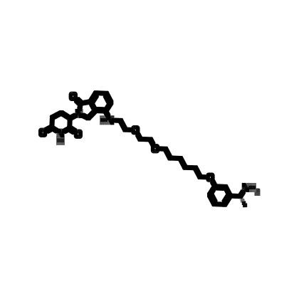 C[C@@H](N)c1cccc(OCCCCCCOCCOCCNc2cccc3c2CN(C2CCC(=O)NC2=O)C3=O)c1